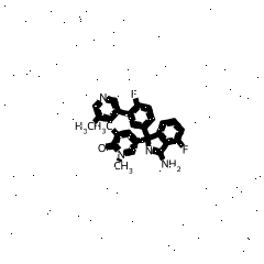 Cc1cncc(-c2cc(C3(c4cc(C)c(=O)n(C)c4)N=C(N)c4c(F)cccc43)ccc2F)c1